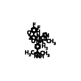 Cc1n[nH]c(C)c1-c1ccc(NC(=O)[C@@H](NC(=O)c2ccnn2C(C)C)C2c3cc(F)c(F)cc3OCC23CC3)cc1